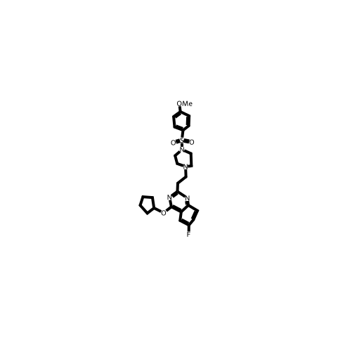 COc1ccc(S(=O)(=O)N2CCN(CCc3nc(OC4CCCC4)c4cc(F)ccc4n3)CC2)cc1